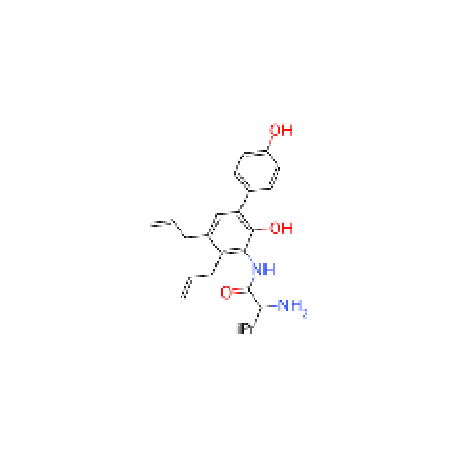 C=CCc1cc(-c2ccc(O)cc2)c(O)c(NC(=O)C(N)C(C)C)c1CC=C